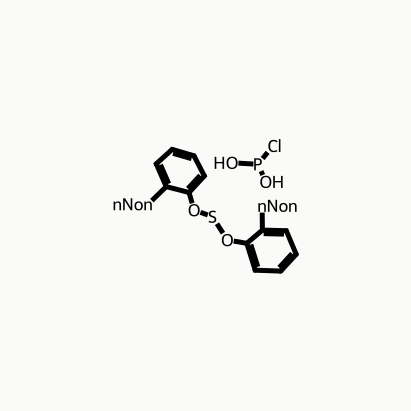 CCCCCCCCCc1ccccc1OSOc1ccccc1CCCCCCCCC.OP(O)Cl